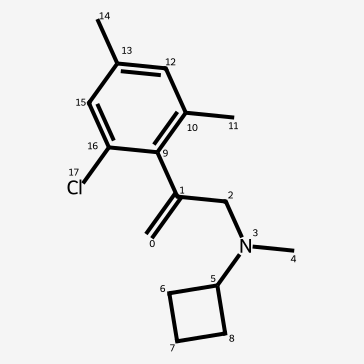 C=C(CN(C)C1CCC1)c1c(C)cc(C)cc1Cl